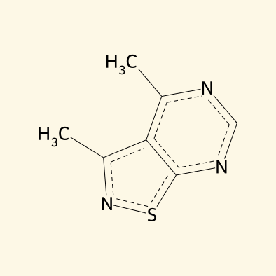 Cc1ncnc2snc(C)c12